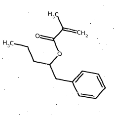 C=C(C)C(=O)OC(CCC)Cc1ccccc1